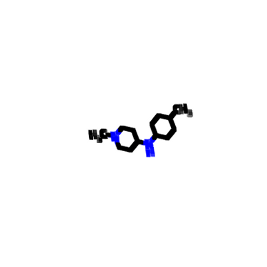 CC1CCC(NC2CCN(C)CC2)CC1